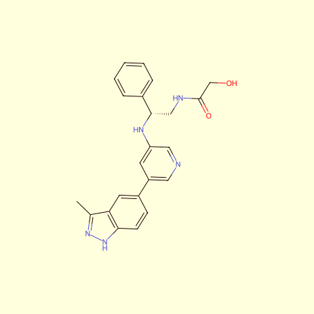 Cc1n[nH]c2ccc(-c3cncc(N[C@@H](CNC(=O)CO)c4ccccc4)c3)cc12